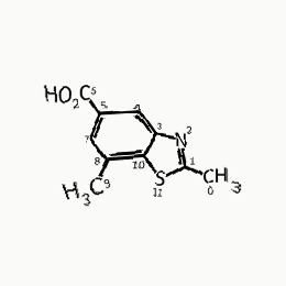 Cc1nc2cc(C(=O)O)cc(C)c2s1